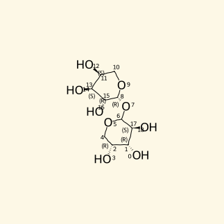 O[C@@H]1[C@H](O)COC(O[C@H]2OC[C@H](O)[C@H](O)[C@H]2O)[C@H]1O